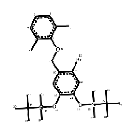 Cc1cccc(C)c1OCc1cc(O[Si](C)(C)C(C)(C)C)c(O[Si](C)(C)C(C)(C)C)cc1Br